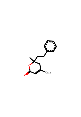 COC1=CC(=O)OC(C)(CCc2ccccc2)C1